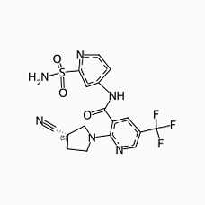 N#C[C@H]1CCN(c2ncc(C(F)(F)F)cc2C(=O)Nc2ccnc(S(N)(=O)=O)c2)C1